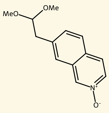 COC(Cc1ccc2cc[n+]([O-])cc2c1)OC